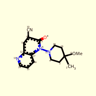 COC1(C)CCN(n2c(=O)c(C#N)cc3ncccc32)CC1